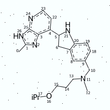 Cc1nc2c(C3Cc4cc(CN(C)CCCOC(C)C)ccc4N3)ccnc2[nH]1